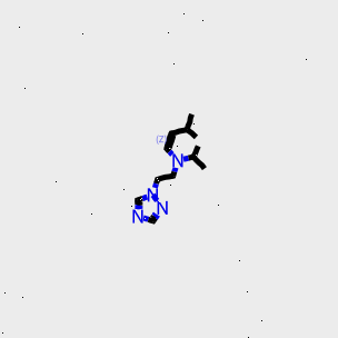 CC(C)/C=C\N(CCn1cncn1)C(C)C